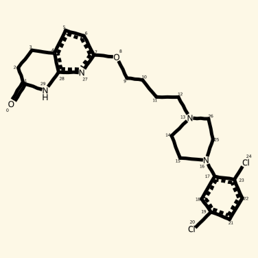 O=C1CCc2ccc(OCCCCN3CCN(c4cc(Cl)ccc4Cl)CC3)nc2N1